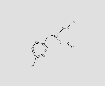 C=CCN(CCC)Cc1ccc(C)cc1